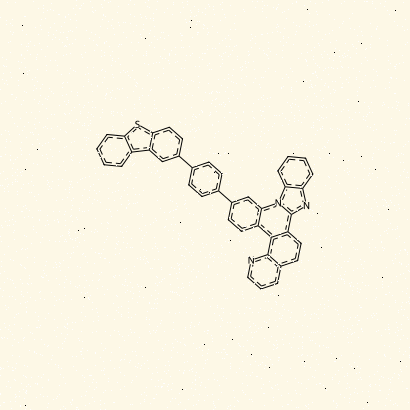 c1cnc2c(c1)ccc1c2c2ccc(-c3ccc(-c4ccc5sc6ccccc6c5c4)cc3)cc2n2c3ccccc3nc12